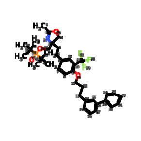 CC1=NC(CCc2ccc(OCCCc3cccc(-c4ccccc4)c3)c(C(F)(F)F)c2)(COP(=O)(C(C)(C)C)C(C)(C)C)CO1